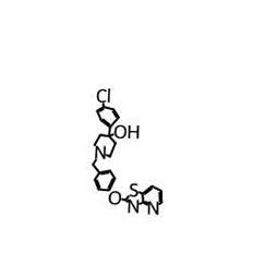 OC1(c2ccc(Cl)cc2)CCN(Cc2ccc(Oc3nc4ncccc4s3)cc2)CC1